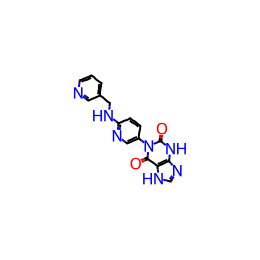 O=c1[nH]c2nc[nH]c2c(=O)n1-c1ccc(NCc2cccnc2)nc1